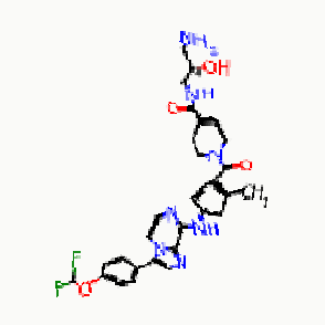 Cc1cc(Nc2nccn3c(-c4ccc(OC(F)F)cc4)cnc23)ccc1C(=O)N1CCC(C(=O)NC[C@@H](O)CN)CC1